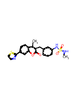 CNS(=O)(=O)Nc1cccc(Cc2c(C)c3ccc(-c4nccs4)cc3oc2=O)c1